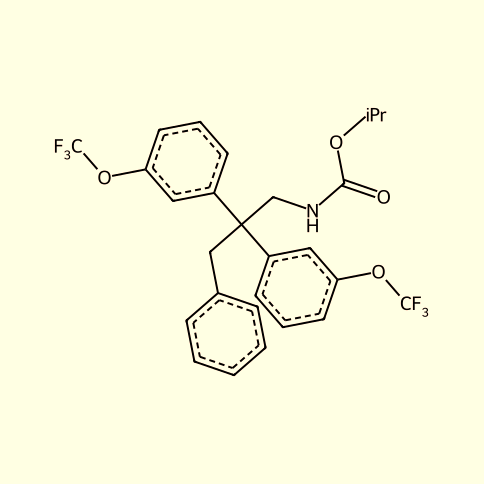 CC(C)OC(=O)NCC(Cc1ccccc1)(c1cccc(OC(F)(F)F)c1)c1cccc(OC(F)(F)F)c1